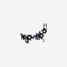 C=C1[C@@H](C2CCNCC2)CCCN1/N=C(N)/C=C/c1ccc(-n2cnc(C)c2)c(OC)c1